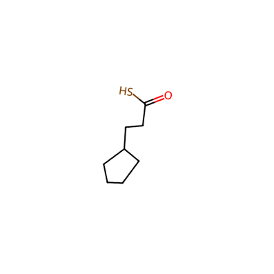 O=C(S)CCC1CCCC1